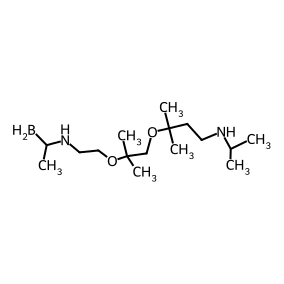 BC(C)NCCOC(C)(C)COC(C)(C)CCNC(C)C